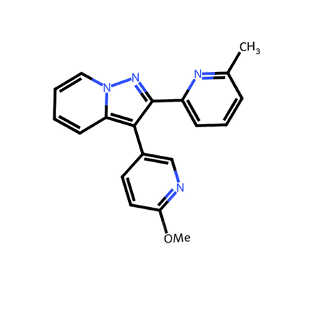 COc1ccc(-c2c(-c3cccc(C)n3)nn3ccccc23)cn1